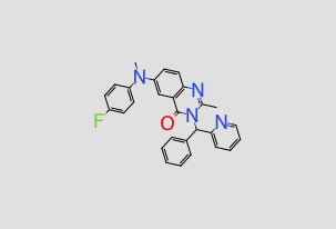 Cc1nc2ccc(N(C)c3ccc(F)cc3)cc2c(=O)n1C(c1ccccc1)c1ccccn1